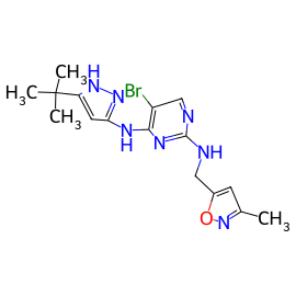 Cc1cc(CNc2ncc(Br)c(Nc3cc(C(C)(C)C)[nH]n3)n2)on1